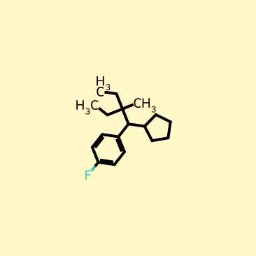 CCC(C)(CC)C(c1ccc(F)cc1)C1CCCC1